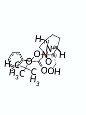 CC(C)(C)OC(=O)N1C[C@@H]2CC[C@H]([C@@H]1CO)N2C(=O)OCc1ccccc1